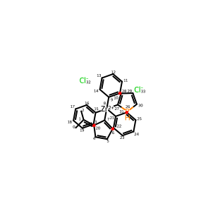 CC(C)=C1C=CC=[C]1[Zr+2]([c]1ccccc1)([c]1ccccc1)([c]1ccccc1)[c]1ccc[pH]1.[Cl-].[Cl-]